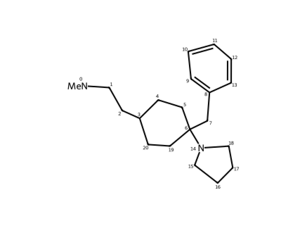 CNCCC1CCC(Cc2ccccc2)(N2CCCC2)CC1